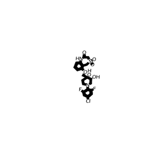 O=C1CS(=O)(=O)Cc2c(cccc2OC[C@]2(O)CCN(c3c(F)cc(Cl)cc3F)C[C@H]2O)N1